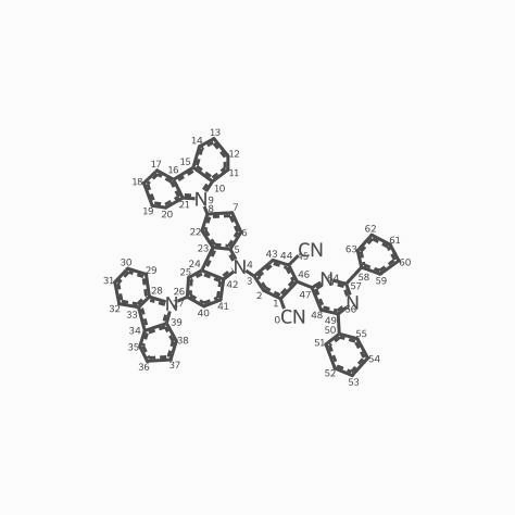 N#Cc1cc(-n2c3ccc(-n4c5ccccc5c5ccccc54)cc3c3cc(-n4c5ccccc5c5ccccc54)ccc32)cc(C#N)c1-c1cc(-c2ccccc2)nc(-c2ccccc2)n1